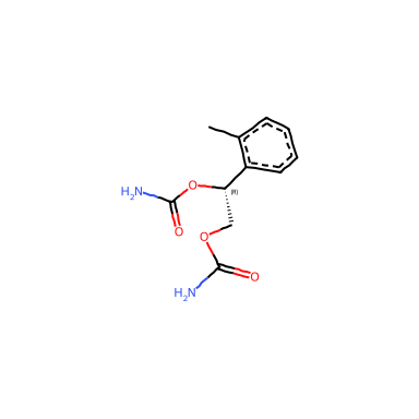 Cc1ccccc1[C@H](COC(N)=O)OC(N)=O